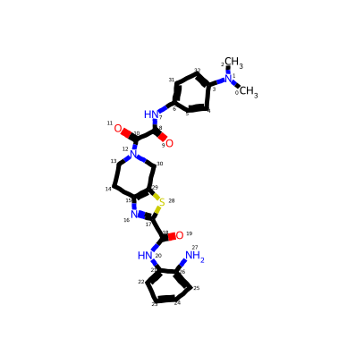 CN(C)c1ccc(NC(=O)C(=O)N2CCc3nc(C(=O)Nc4ccccc4N)sc3C2)cc1